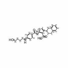 O=C(Nc1scc(C2CCc3ccccc3C2)c1C(=O)O)c1ccc(NCCCCO)cc1